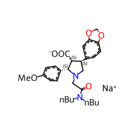 CCCCN(CCCC)C(=O)CN1C[C@H](c2ccc3c(c2)OCO3)[C@H](C(=O)[O-])[C@H]1c1ccc(OC)cc1.[Na+]